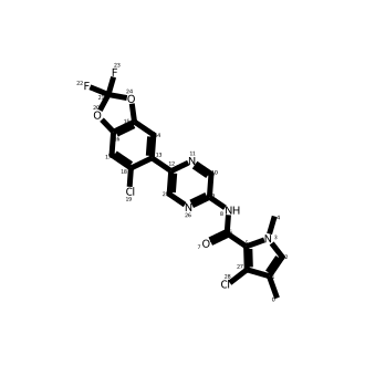 Cc1cn(C)c(C(=O)Nc2cnc(-c3cc4c(cc3Cl)OC(F)(F)O4)cn2)c1Cl